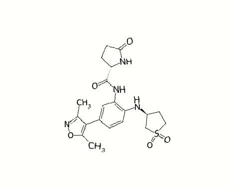 Cc1noc(C)c1-c1ccc(N[C@H]2CCS(=O)(=O)C2)c(NC(=O)[C@@H]2CCC(=O)N2)c1